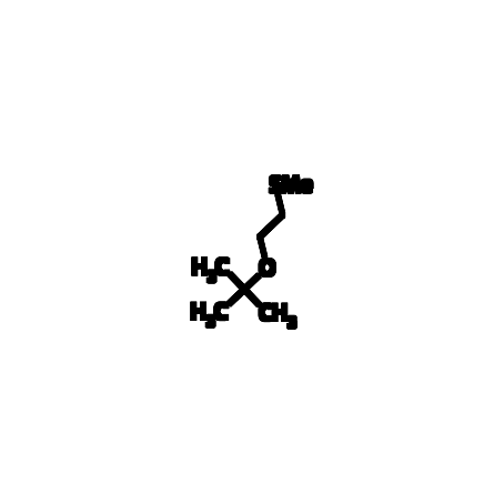 CSCCOC(C)(C)C